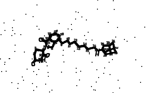 O=C1CCC(N2Cc3c(CCCCCCCCNC45CC6CC7CC(C4)C76C5)cccc3C2=O)C(=O)N1